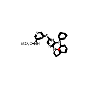 CCOC(=O)Nc1cncc(Sc2cnc(N3CCCC3)c(N(c3ccccc3)c3ccccc3)n2)c1